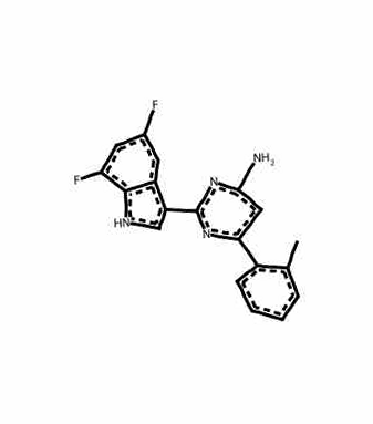 Cc1ccccc1-c1cc(N)nc(-c2c[nH]c3c(F)cc(F)cc23)n1